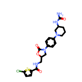 NC(=O)NC1CCCN(c2ccc(N3CC(CNC(=O)c4ccc(Cl)s4)OC3=O)cc2)C1